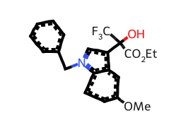 CCOC(=O)C(O)(c1cn(Cc2ccccc2)c2ccc(OC)cc12)C(F)(F)F